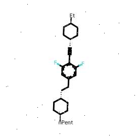 CCCCC[C@H]1CC[C@H](CCc2cc(F)c(C#C[C@H]3CC[C@H](CC)CC3)c(F)c2)CC1